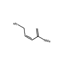 C=C(/C=C\CCCC)NC